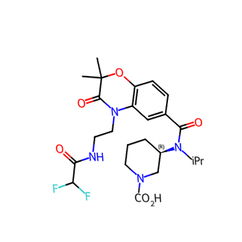 CC(C)N(C(=O)c1ccc2c(c1)N(CCNC(=O)C(F)F)C(=O)C(C)(C)O2)[C@@H]1CCCN(C(=O)O)C1